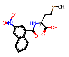 CSCC[C@H](NC(=O)c1cc([N+](=O)[O-])cc2ccccc12)C(=O)O